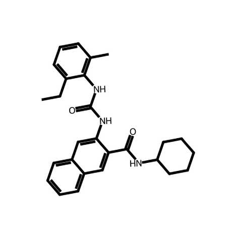 CCc1cccc(C)c1NC(=O)Nc1cc2ccccc2cc1C(=O)NC1CCCCC1